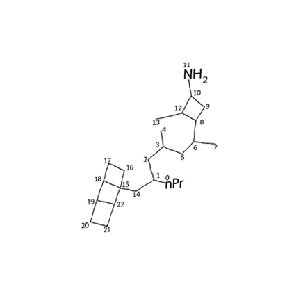 CCCC(CC(C)CC(C)C1CC(N)C1C)CC12CCC1C1CCC12